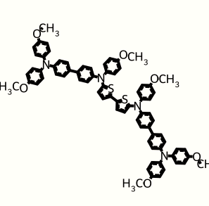 COc1ccc(N(c2ccc(OC)cc2)c2ccc(-c3ccc(N(c4ccc(OC)cc4)c4ccc(-c5ccc(N(c6ccc(OC)cc6)c6ccc(-c7ccc(N(c8ccc(OC)cc8)c8ccc(OC)cc8)cc7)cc6)s5)s4)cc3)cc2)cc1